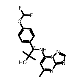 Cc1cc(N[C@H](c2ccc(OC(F)F)cc2)C(C)(C)O)n2ncnc2n1